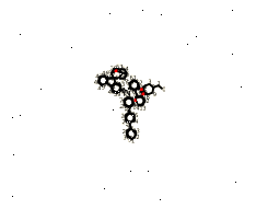 CCC1CC2CCCC(C1)C21c2ccccc2-c2c(N(c3ccc(-c4ccc(-c5ccccc5)cc4)cc3)c3ccc4c(c3)C3(c5ccccc5-4)C4CC5CC(C4)CC3C5)cccc21